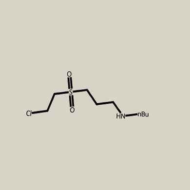 CCCCNCCCS(=O)(=O)CCCl